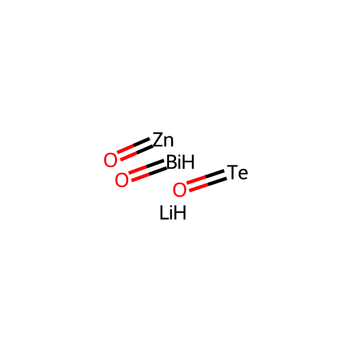 O=[Te].[LiH].[O]=[BiH].[O]=[Zn]